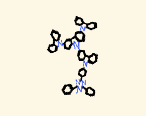 c1ccc(-c2nc(-c3ccccc3)nc(-c3ccc(-n4c5ccccc5c5cc(-n6c7ccc(-n8c9ccccc9c9ccccc98)cc7c7cc(-n8c9ccccc9c9ccccc98)ccc76)ccc54)cc3)n2)cc1